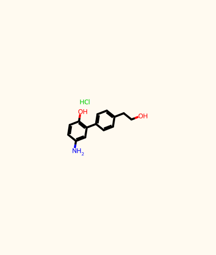 Cl.Nc1ccc(O)c(-c2ccc(CCO)cc2)c1